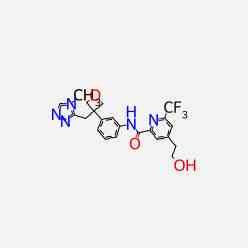 Cn1cnnc1CC1(c2cccc(NC(=O)c3cc(CCO)cc(C(F)(F)F)n3)c2)COC1